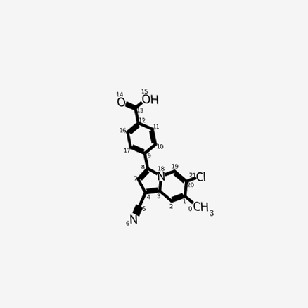 Cc1cc2c(C#N)cc(-c3ccc(C(=O)O)cc3)n2cc1Cl